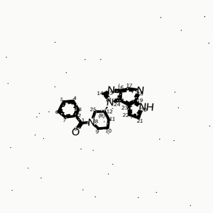 O=C(c1ccccc1)N1CCC[C@@H](n2cnc3cnc4[nH]ccc4c32)C1